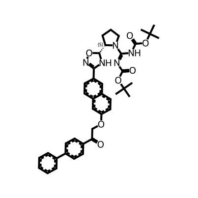 CC(C)(C)OC(=O)N=C(NC(=O)OC(C)(C)C)N1CCC[C@H]1C1NC(c2ccc3cc(OCC(=O)c4ccc(-c5ccccc5)cc4)ccc3c2)=NO1